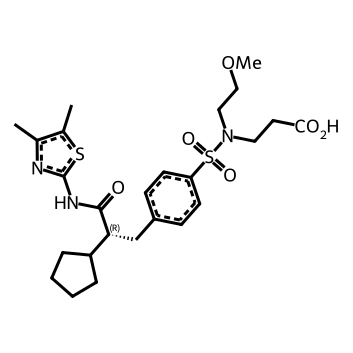 COCCN(CCC(=O)O)S(=O)(=O)c1ccc(C[C@@H](C(=O)Nc2nc(C)c(C)s2)C2CCCC2)cc1